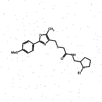 CCN1CCCC1CNC(=O)CSCc1nc(-c2ccc(SC)cc2)oc1C